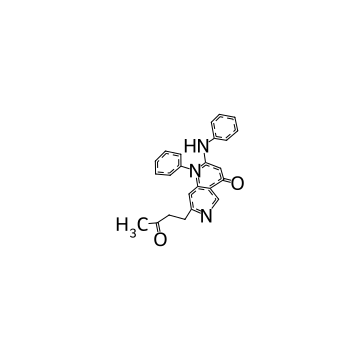 CC(=O)CCc1cc2c(cn1)c(=O)cc(Nc1ccccc1)n2-c1ccccc1